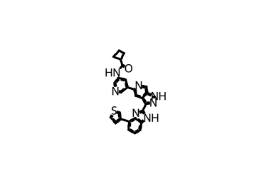 O=C(Nc1cncc(-c2cc3c(-c4nc5c(-c6ccsc6)cccc5[nH]4)n[nH]c3cn2)c1)C1CCC1